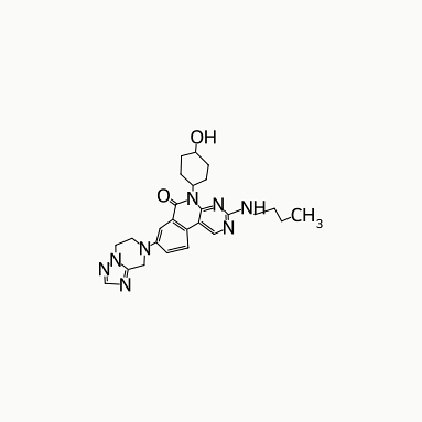 CCCCNc1ncc2c3ccc(N4CCn5ncnc5C4)cc3c(=O)n(C3CCC(O)CC3)c2n1